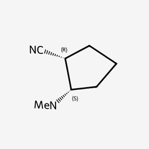 CN[C@H]1CCC[C@H]1C#N